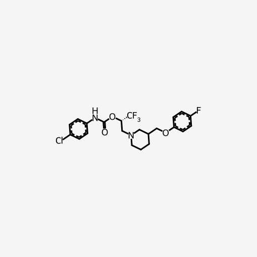 O=C(Nc1ccc(Cl)cc1)O[C@@H](CN1CCCC(COc2ccc(F)cc2)C1)C(F)(F)F